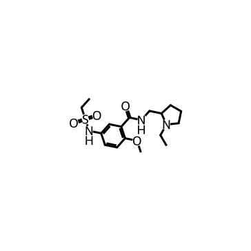 CCN1CCCC1CNC(=O)c1cc(NS(=O)(=O)CC)ccc1OC